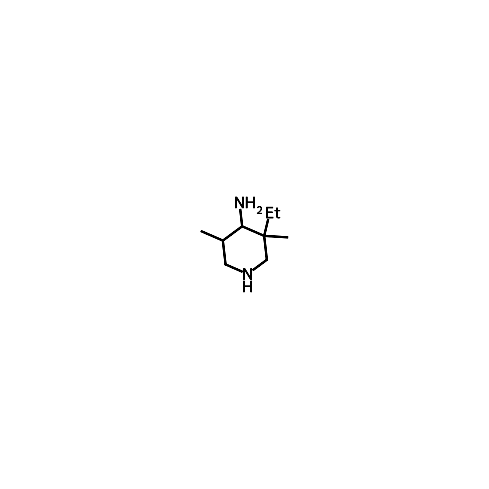 CCC1(C)CNCC(C)C1N